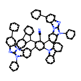 N#Cc1c(-c2ccc3c(c2)n2c4cc(-c5ccccc5)ccc4nc2n3-c2ccccc2)c(-n2c3ccccc3c3ccccc32)cc(-c2ccc3c(c2)n2c4cc(-c5ccccc5)ccc4nc2n3-c2ccccc2)c1C1c2ccccc2-c2ccccc21